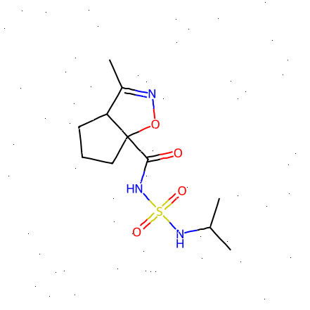 CC1=NOC2(C(=O)NS(=O)(=O)NC(C)C)CCCC12